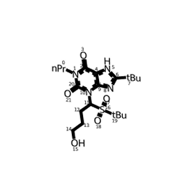 CCCn1c(=O)c2[nH]c(C(C)(C)C)nc2n(C(CCCO)S(=O)(=O)C(C)(C)C)c1=O